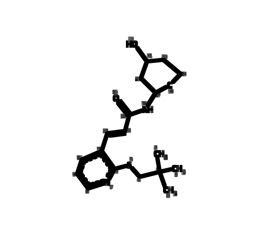 CC(C)(C)CSc1ncccc1/C=C/C(=O)NC1CCCC(O)C1